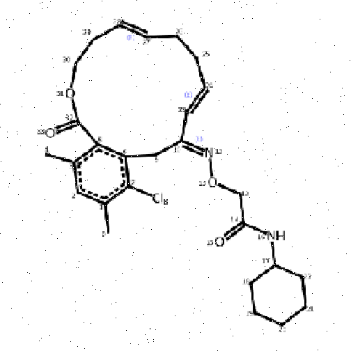 Cc1cc(C)c2c(c1Cl)CC(=N\OCC(=O)NC1CCCCC1)/C=C/CC/C=C/CCOC2=O